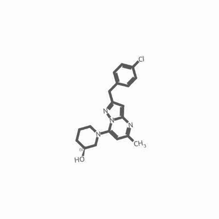 Cc1cc(N2CCC[C@H](O)C2)n2nc(Cc3ccc(Cl)cc3)cc2n1